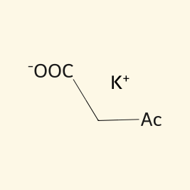 CC(=O)CC(=O)[O-].[K+]